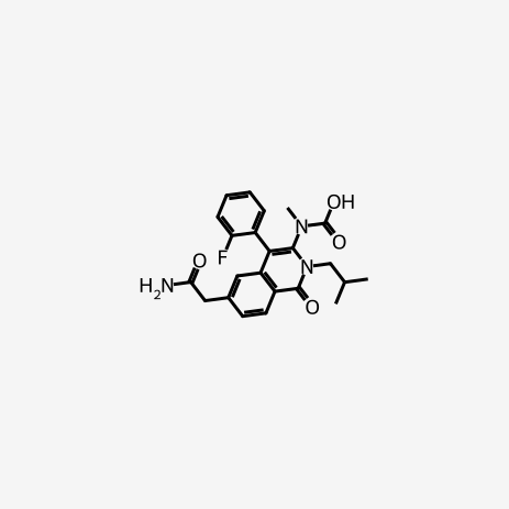 CC(C)Cn1c(N(C)C(=O)O)c(-c2ccccc2F)c2cc(CC(N)=O)ccc2c1=O